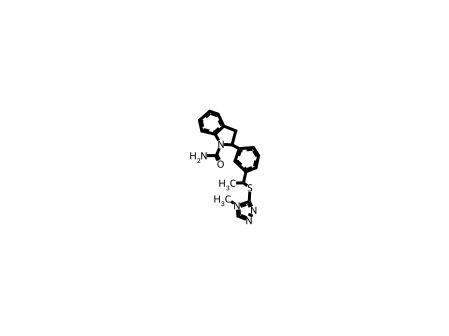 CC(Sc1nncn1C)c1cccc(C2Cc3ccccc3N2C(N)=O)c1